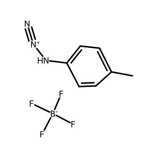 Cc1ccc(N[N+]#N)cc1.F[B-](F)(F)F